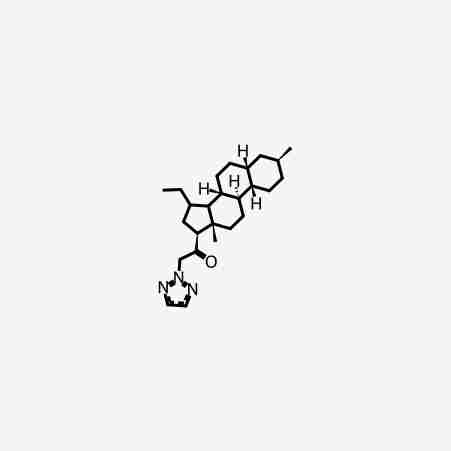 CCC1C[C@H](C(=O)Cn2nccn2)[C@@]2(C)CC[C@@H]3[C@H]4CC[C@H](C)C[C@H]4CC[C@H]3C12